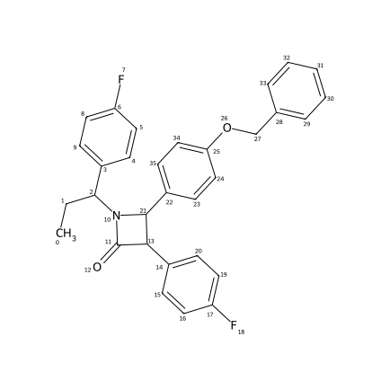 CCC(c1ccc(F)cc1)N1C(=O)C(c2ccc(F)cc2)C1c1ccc(OCc2ccccc2)cc1